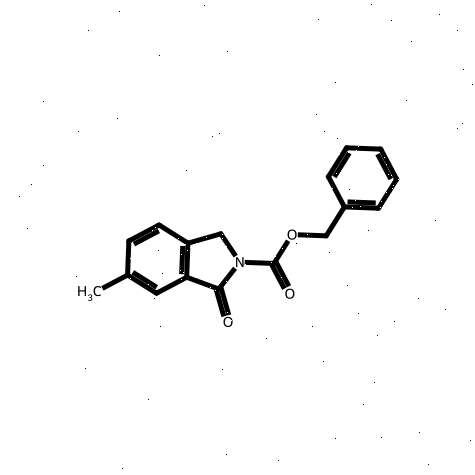 Cc1ccc2c(c1)C(=O)N(C(=O)OCc1ccccc1)C2